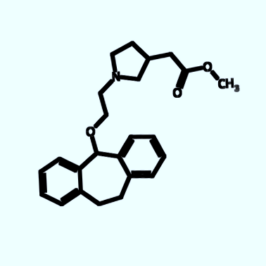 COC(=O)CC1CCN(CCOC2c3ccccc3CCc3ccccc32)C1